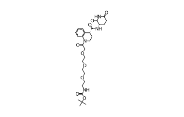 CC(C)(C)OC(=O)NCCOCCOCCOCC(=O)N1CC[C@@H](C(=O)N[C@H]2CCC(=O)NC2=O)c2ccccc21